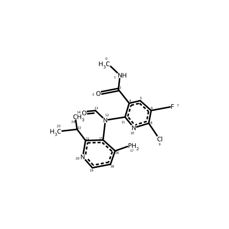 CNC(=O)c1cc(F)c(Cl)nc1N(C=O)c1c(P)ccnc1C(C)C